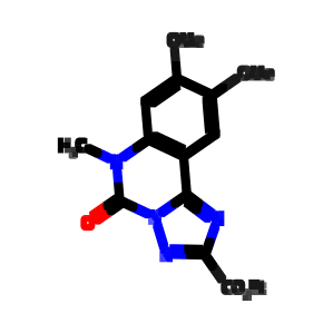 CCOC(=O)c1nc2c3cc(OC)c(OC)cc3n(C)c(=O)n2n1